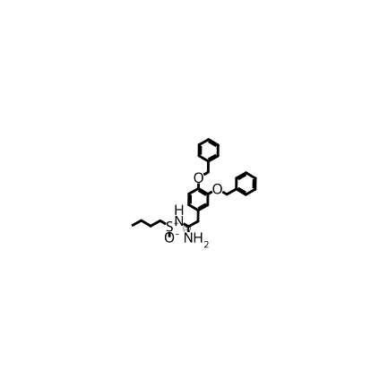 CCCC[S+]([O-])N[C@H](N)Cc1ccc(OCc2ccccc2)c(OCc2ccccc2)c1